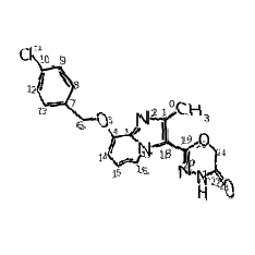 Cc1nc2c(OCc3ccc(Cl)cc3)cccn2c1C1=NNC(=O)CO1